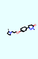 C[C@@H]1CCCN1CCCOC1=CC=C(C2=NN(C)C(=O)CC2)CC1